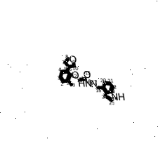 Cc1cccc(C2CCOC2)c1OCC(=O)NN=Cc1cccc2[nH]ccc12